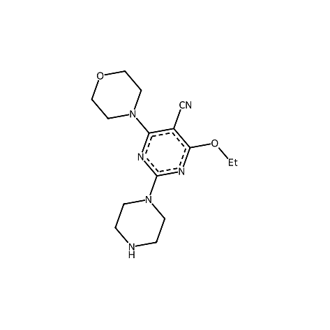 CCOc1nc(N2CCNCC2)nc(N2CCOCC2)c1C#N